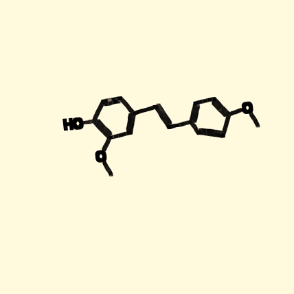 COc1ccc(C=Cc2ccc(O)c(OC)c2)cc1